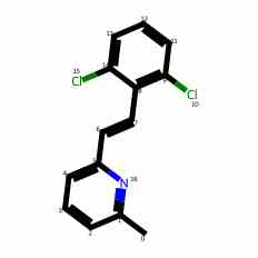 Cc1cccc(C=Cc2c(Cl)cccc2Cl)n1